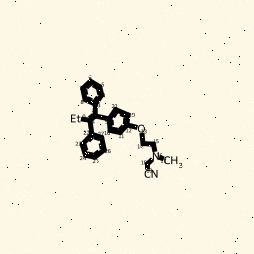 CC/C(=C(\c1ccccc1)c1ccc(OCCN(C)CC#N)cc1)c1ccccc1